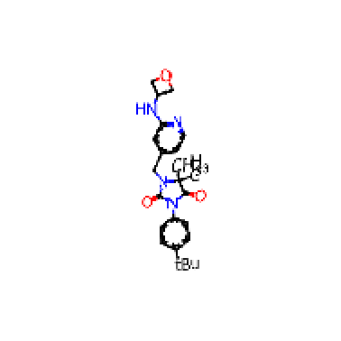 CC(C)(C)c1ccc(N2C(=O)N(Cc3ccnc(NC4COC4)c3)C(C)(C)C2=O)cc1